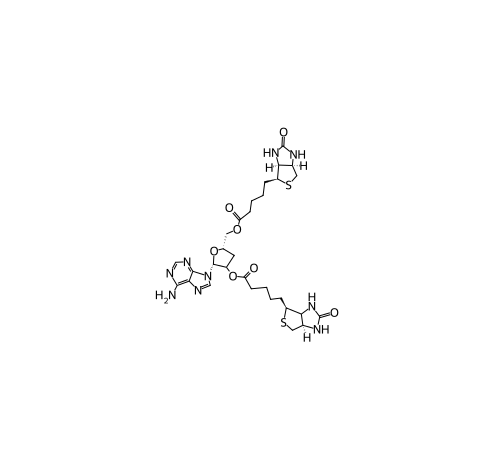 Nc1ncnc2c1ncn2[C@@H]1O[C@H](COC(=O)CCCC[C@@H]2SC[C@@H]3NC(=O)N[C@@H]32)CC1OC(=O)CCCC[C@@H]1SC[C@@H]2NC(=O)NC21